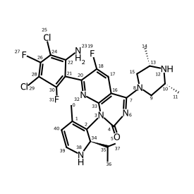 CC1=C(n2c(=O)nc(N3C[C@@H](C)N[C@@H](C)C3)c3cc(F)c(-c4c(N)c(Cl)c(F)c(Cl)c4F)nc32)[C@@H](C(C)C)NC=C1